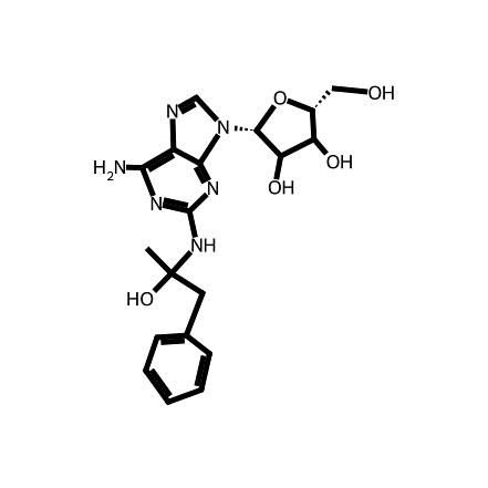 CC(O)(Cc1ccccc1)Nc1nc(N)c2ncn([C@@H]3O[C@H](CO)C(O)C3O)c2n1